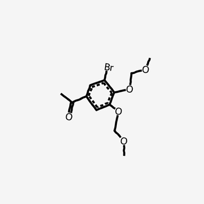 COCOc1cc(C(C)=O)cc(Br)c1OCOC